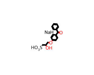 O=C(c1ccccc1)c1ccc(OCC(O)CS(=O)(=O)O)cc1.[NaH]